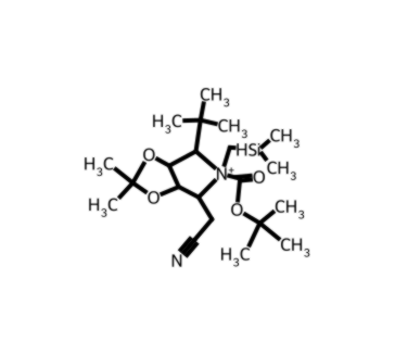 C[SiH](C)C[N+]1(C(=O)OC(C)(C)C)C(CC#N)C2OC(C)(C)OC2C1C(C)(C)C